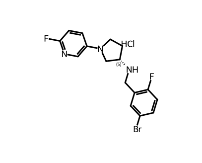 Cl.Fc1ccc(N2CC[C@H](NCc3cc(Br)ccc3F)C2)cn1